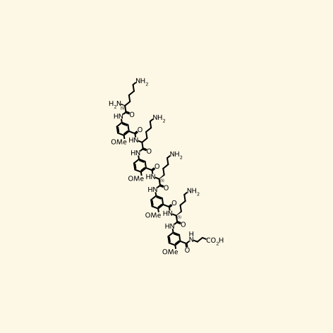 COc1ccc(NC(=O)[C@H](CCCCN)NC(=O)c2cc(NC(=O)[C@H](CCCCN)NC(=O)c3cc(NC(=O)C(CCCCN)NC(=O)c4cc(NC(=O)[C@@H](N)CCCCN)ccc4OC)ccc3OC)ccc2OC)cc1C(=O)NCCC(=O)O